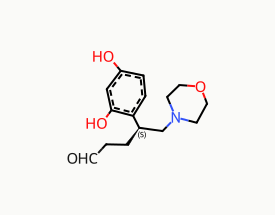 O=CCC[C@H](CN1CCOCC1)c1ccc(O)cc1O